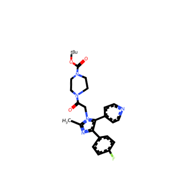 Cc1nc(-c2ccc(F)cc2)c(-c2ccncc2)n1CC(=O)N1CCN(C(=O)OC(C)(C)C)CC1